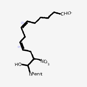 CCCCCC(O)C(C/C=C\C/C=C\CCCC[C]=O)[N+](=O)[O-]